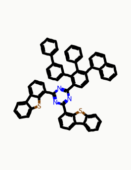 c1ccc(-c2cccc(-c3c(-c4nc(-c5cccc6c5sc5ccccc56)nc(-c5cccc6c5sc5ccccc56)n4)ccc(-c4cccc5ccccc45)c3-c3ccccc3)c2)cc1